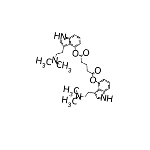 CN(C)CCc1c[nH]c2cccc(OC(=O)CCCC(=O)Oc3cccc4[nH]cc(CCN(C)C)c34)c12